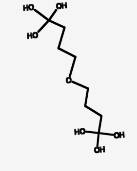 OC(O)(O)CCCOCCCC(O)(O)O